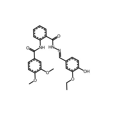 CCOc1cc(/C=N/NC(=O)c2ccccc2NC(=O)c2ccc(OC)c(OC)c2)ccc1O